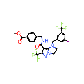 COC(=O)c1ccc([C@H](C)NC(=O)c2c(C(F)(F)F)nn3c2N(Cc2cc(I)cc(C(F)(F)F)c2)CC3)cc1